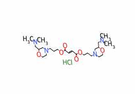 CN(C)CC1CN(CCCOC(=O)/C=C/C(=O)OCCCN2CCOC(CN(C)C)C2)CCO1.Cl